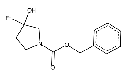 CCC1(O)CCN(C(=O)OCc2ccccc2)C1